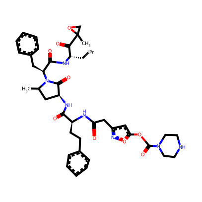 CC(C)C[C@H](NC(=O)[C@H](Cc1ccccc1)N1C(=O)[C@@H](NC(=O)[C@H](CCc2ccccc2)NC(=O)Cc2cc(OC(=O)N3CCNCC3)on2)CC1C)C(=O)C1(C)CO1